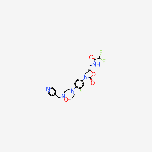 O=C(NC[C@H]1CN(c2ccc(N3CCON(Cc4ccncc4)CC3)c(F)c2)C(=O)O1)C(F)F